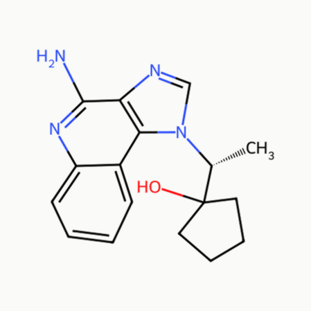 C[C@@H](n1cnc2c(N)nc3ccccc3c21)C1(O)CCCC1